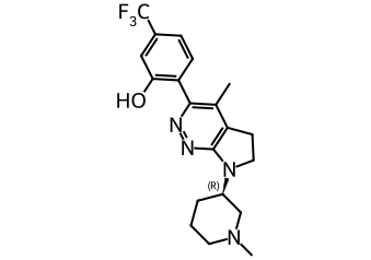 Cc1c(-c2ccc(C(F)(F)F)cc2O)nnc2c1CCN2[C@@H]1CCCN(C)C1